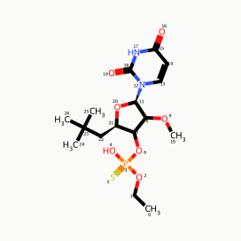 CCOP(O)(=S)OC1C(OC)[C@H](n2ccc(=O)[nH]c2=O)O[C@@H]1CC(C)(C)C